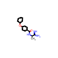 C[C@@H](NC(=O)c1ccc(Oc2ccccc2)cc1)C(=N)N